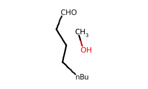 CCCCCCCC=O.CO